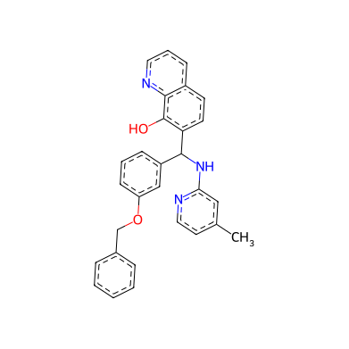 Cc1ccnc(NC(c2cccc(OCc3ccccc3)c2)c2ccc3cccnc3c2O)c1